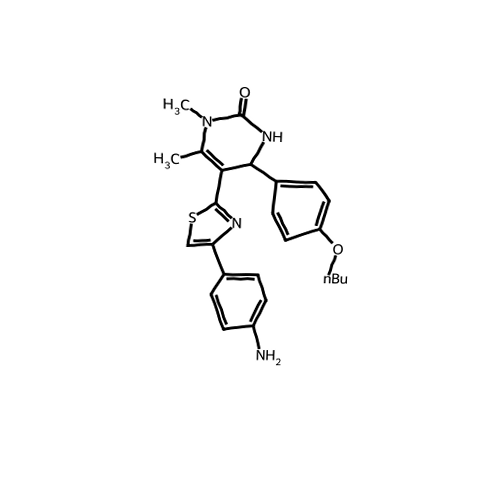 CCCCOc1ccc(C2NC(=O)N(C)C(C)=C2c2nc(-c3ccc(N)cc3)cs2)cc1